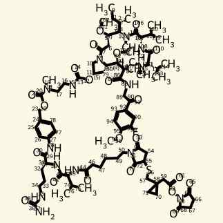 CC[C@H](C)[C@@H]([C@@H](CC(=O)N1C[C@@H](OC(=O)NCCN(C)C(=O)OCc2ccc(NC(=O)[C@H](CCCNC(N)=O)NC(=O)[C@@H](NC(=O)CCCCCN3C(=O)CC(SCC4(CC(=O)ON5C(=O)CCC5=O)CC4)C3=O)C(C)C)cc2)C[C@H]1[C@H](OC)[C@@H](C)C(=O)NCC(=O)c1ccc(OC)c(F)c1)OC)N(C)C(=O)[C@@H](NC(=O)[C@H](C(C)C)N(C)C)C(C)C